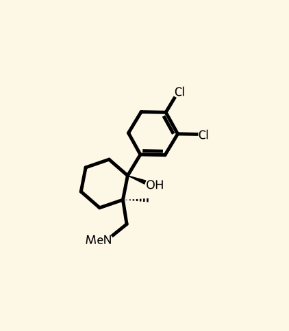 CNC[C@@]1(C)CCCC[C@]1(O)C1=CC(Cl)=C(Cl)CC1